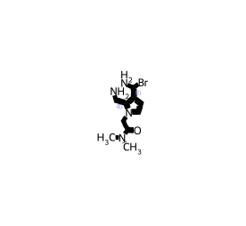 CN(C)C(=O)Cn1ccc(=C(/N)Br)/c1=C\N